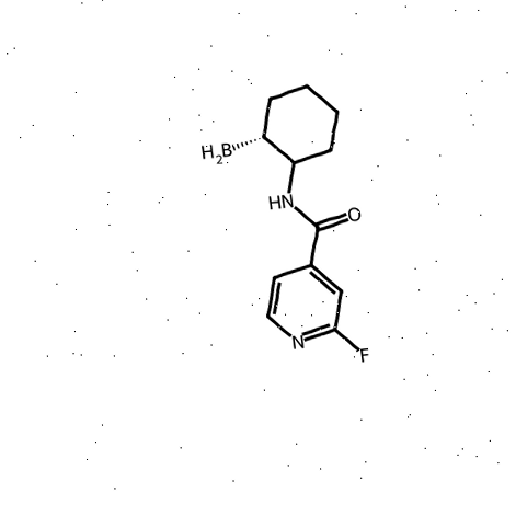 B[C@@H]1CCCCC1NC(=O)c1ccnc(F)c1